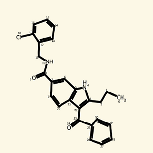 CCCc1[nH]c2cc(C(=O)NCc3ccccc3Cl)ccc2c1C(=O)c1ccccc1